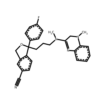 CN(CCCC1(c2ccc(F)cc2)OCc2cc(C#N)ccc21)C1=Nc2ccccc2N(C)C1